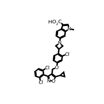 Cn1cc(C(=O)O)c2ccc(N3CC(c4ccc(OCc5c(-c6c(Cl)cccc6Cl)noc5C5CC5)cc4Cl)C3)cc21